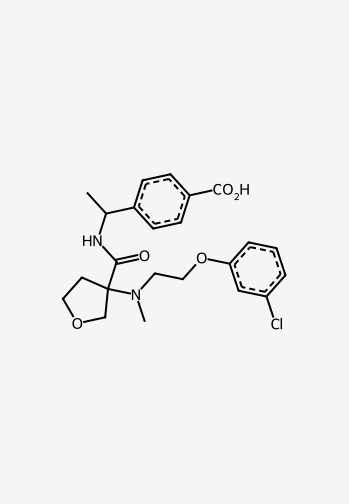 CC(NC(=O)C1(N(C)CCOc2cccc(Cl)c2)CCOC1)c1ccc(C(=O)O)cc1